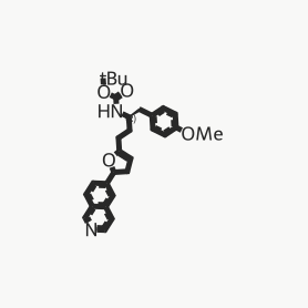 COc1ccc(C[C@@H](CCC2=CCC(c3ccc4cnccc4c3)O2)NC(=O)OC(C)(C)C)cc1